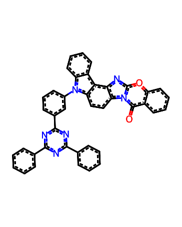 O=c1c2ccccc2oc2nc3c4c5ccccc5n(-c5cccc(-c6nc(-c7ccccc7)nc(-c7ccccc7)n6)c5)c4ccc3n12